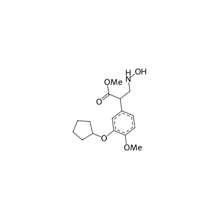 COC(=O)C(CNO)c1ccc(OC)c(OC2CCCC2)c1